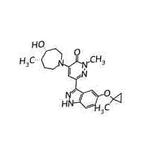 C[C@H]1CCN(c2cc(-c3n[nH]c4ccc(OC5(C)CC5)cc34)nn(C)c2=O)CC[C@H]1O